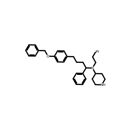 CC(C)CCN(C1CCNCC1)C(CCCc1ccc(OCc2ccccc2)cc1)c1ccccc1